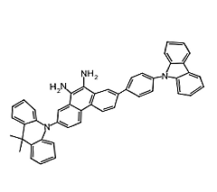 CC1(C)c2ccccc2N(c2ccc3c(c2)c(N)c(N)c2cc(-c4ccc(-n5c6ccccc6c6ccccc65)cc4)ccc23)c2ccccc21